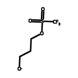 [O]CCCOS(=O)(=O)C(F)(F)F